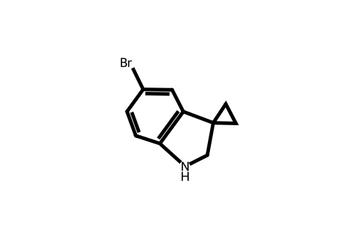 Brc1ccc2c(c1)C1(CC1)CN2